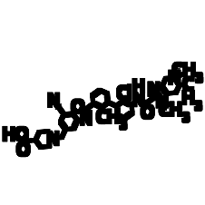 Cc1c(-c2nc3cc(CN4CCC(C(=O)O)CC4)cc(C#N)c3o2)cccc1-c1cccc(NC(=O)c2nc3c(n2C)CC(C)N(C)C3)c1Cl